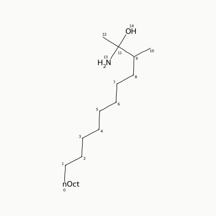 CCCCCCCCCCCCCCCCC(C)C(C)(N)O